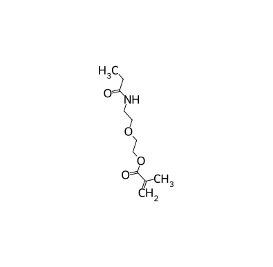 C=C(C)C(=O)OCCOCCNC(=O)CC